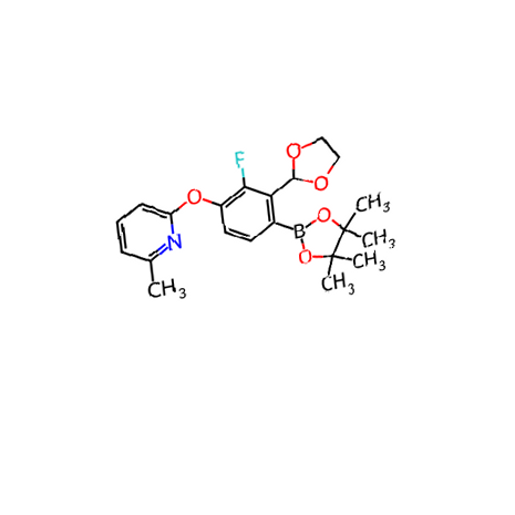 Cc1cccc(Oc2ccc(B3OC(C)(C)C(C)(C)O3)c(C3OCCO3)c2F)n1